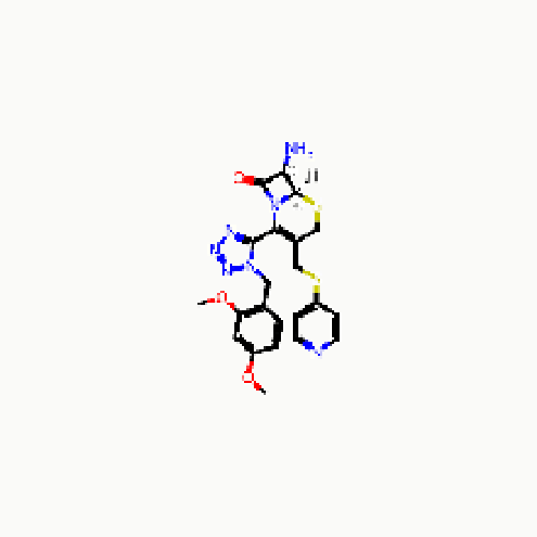 COc1ccc(Cn2nnnc2C2=C(CSc3ccncc3)CS[C@@H]3[C@H](N)C(=O)N23)c(OC)c1